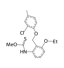 CCOc1cccc(NC(=S)OC)c1COc1ccc(C)cc1Cl